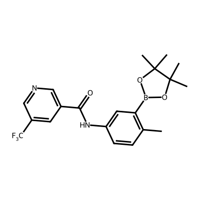 Cc1ccc(NC(=O)c2cncc(C(F)(F)F)c2)cc1B1OC(C)(C)C(C)(C)O1